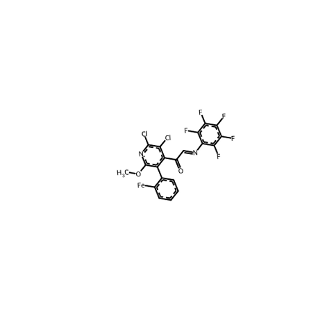 COc1nc(Cl)c(Cl)c(C(=O)C=Nc2c(F)c(F)c(F)c(F)c2F)c1-c1cccc[c]1[Fe]